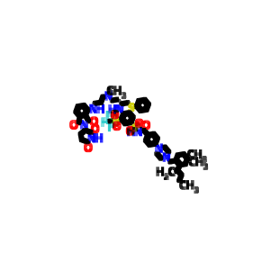 C=C(CCC)C1=C(CN2CCN(c3ccc(C(=O)NS(=O)(=O)c4ccc(N[C@H](CCN(C)CCCNc5cccc6c5C(=O)N(C5CCC(=O)NC5=O)C6=O)CSc5ccccc5)c(S(=O)(=O)C(F)(F)F)c4)cc3)CC2)CCC(C)(C)C1